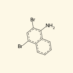 Nc1c(Br)cc(Br)c2ccccc12